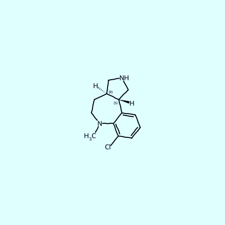 CN1CC[C@H]2CNC[C@@H]2c2cccc(Cl)c21